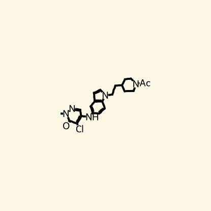 CC(=O)N1CCC(CCn2ccc3cc(Nc4cnn(C)c(=O)c4Cl)ccc32)CC1